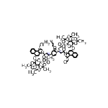 CC(=O)OC[C@H]1O[C@@H](Oc2cc3c(c4ccccc24)[C@H](CCl)CN3C(=O)/C=C/c2ccc(/C=C/C(=O)N3C[C@@H](CCl)c4c3cc(O[C@@H]3O[C@H](COC(C)=O)[C@H](OC(C)=O)[C@H](OC(C)=O)[C@H]3OC(C)=O)c3ccccc43)c(OCCN)c2)[C@H](OC(C)=O)[C@@H](OC(C)=O)[C@H]1OC(C)=O